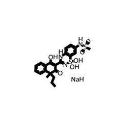 CCCC1(C)C(=O)C(C2=NS(O)(O)c3cc(NS(C)(=O)=O)ccc3N2)=C(O)c2ccccc21.[NaH]